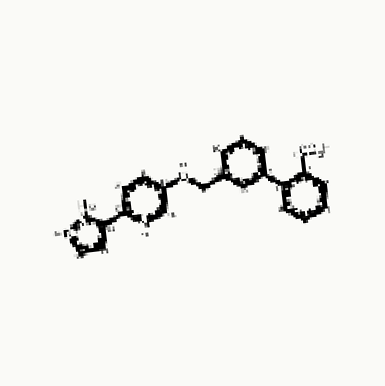 O=C(O)c1ccccc1-c1cccc(COc2ccc(-c3ccn[nH]3)nc2)c1